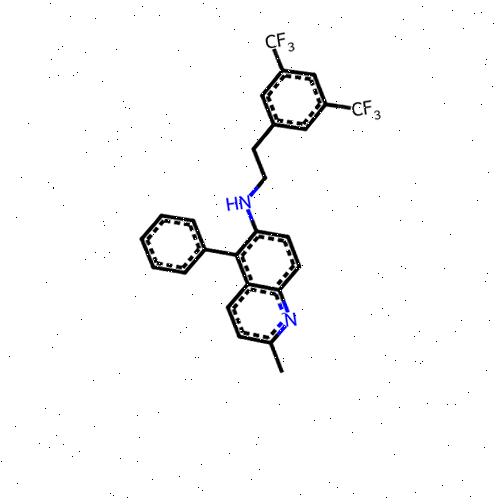 Cc1ccc2c(-c3ccccc3)c(NCCc3cc(C(F)(F)F)cc(C(F)(F)F)c3)ccc2n1